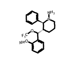 COc1ccccc1C(OC(F)(F)F)[C@H]1CCCN(N)[C@@H]1c1ccccc1